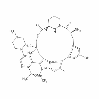 CO[C@@H](C)c1ncc(N2CCN(C)CC2)cc1-c1c2c3cc(c(F)cc3n1CC(F)(F)F)-c1cc(O)cc(c1)C[C@H](N)C(=O)N1CCC[C@H](N1)C(=O)OCC(C)(C)C2